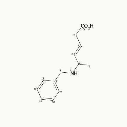 CC(C=CCC(=O)O)NCc1ccccc1